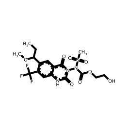 CCC(OC)c1cc2c(=O)n(N(C(=O)OCCO)S(C)(=O)=O)c(=O)[nH]c2cc1C(F)(F)F